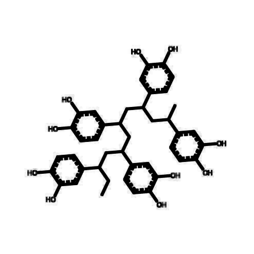 CCC(CC(CC(CC(CC(C)c1ccc(O)c(O)c1)c1ccc(O)c(O)c1)c1ccc(O)c(O)c1)c1ccc(O)c(O)c1)c1ccc(O)c(O)c1